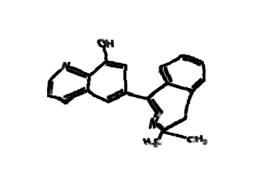 CC1(C)Cc2ccccc2C(c2cc(O)c3ncccc3c2)=N1